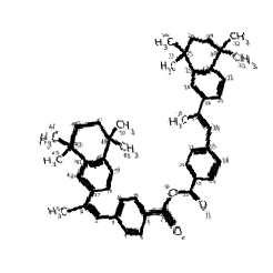 CC(=Cc1ccc(C(=O)OC(=O)c2ccc(/C=C(\C)c3ccc4c(c3)C(C)(C)CCC4(C)C)cc2)cc1)c1ccc2c(c1)C(C)(C)CCC2(C)C